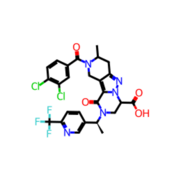 CC1Cc2nn3c(c2CN1C(=O)c1ccc(Cl)c(Cl)c1)C(=O)N([C@@H](C)c1ccc(C(F)(F)F)nc1)CC3C(=O)O